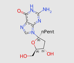 CCCCC[C@]1(n2cnc3c(=O)[nH]c(N)nc32)C[C@H](O)[C@@H](CO)O1